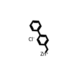 [Cl-].[Zn+][CH2]c1ccc(-c2ccccc2)cc1